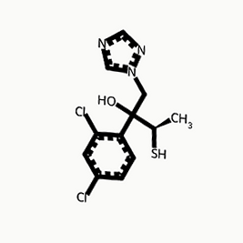 C[C@@H](S)C(O)(Cn1cncn1)c1ccc(Cl)cc1Cl